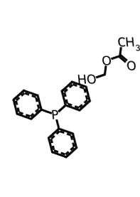 CC(=O)OCO.c1ccc(P(c2ccccc2)c2ccccc2)cc1